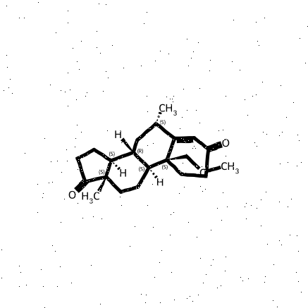 COC[C@]12CCC(=O)C=C1[C@@H](C)C[C@@H]1[C@@H]2CC[C@]2(C)C(=O)CC[C@@H]12